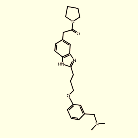 CN(C)Cc1cccc(OCCCc2nc3cc(CC(=O)N4CCCC4)ccc3[nH]2)c1